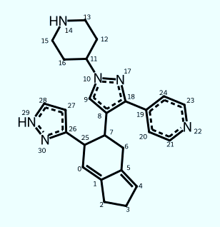 C1=C2CCC=C2CC(c2cn(C3CCNCC3)nc2-c2ccncc2)C1c1cc[nH]n1